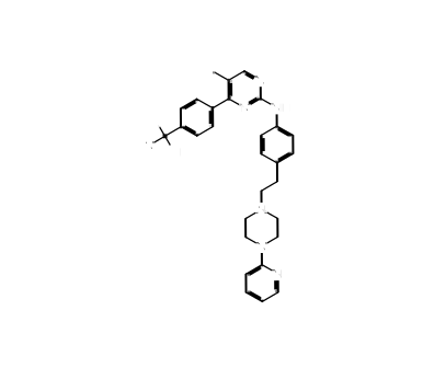 CC(C)(N)c1ccc(-c2nc(Nc3ccc(CCN4CCN(c5ccccn5)CC4)cc3)ncc2Cl)cc1